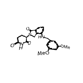 COc1cc(CNc2cccc3c2CN(C2CCC(=O)NC2=O)C3=O)cc(OC)c1